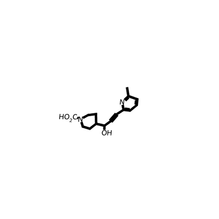 Cc1cccc(C#CC(O)C2CCN(C(=O)O)CC2)n1